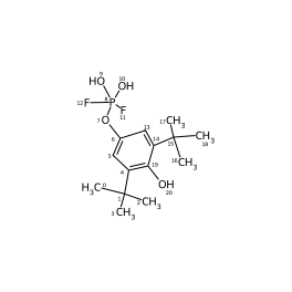 CC(C)(C)c1cc(OP(O)(O)(F)F)cc(C(C)(C)C)c1O